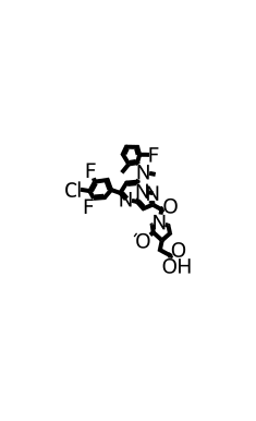 COC1CN(C(=O)c2cc3nc(-c4cc(F)c(Cl)c(F)c4)cc(N(C)c4c(C)cccc4F)n3n2)CCC1CC(=O)O